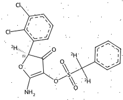 [2H]C([2H])(c1ccccc1)S(=O)(=O)OC1=C(N)O[C@@]([2H])(c2cccc(Cl)c2Cl)C1=O